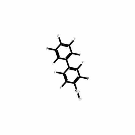 Fc1c(F)c(F)c(-c2c(F)c(F)[c]([Mg][Cl])c(F)c2F)c(F)c1F